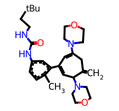 C=C1CC(N2CCOCC2)=CC(c2cc(NC(=O)NCCC(C)(C)C)ccc2C)=CC1N1CCOCC1